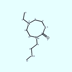 CCN1CCSC(=O)N(CCSC)CC1